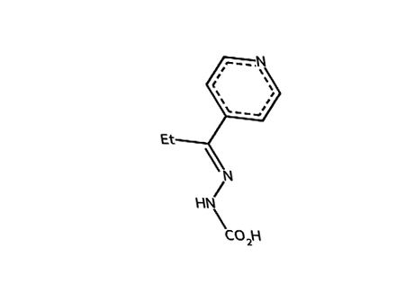 CCC(=NNC(=O)O)c1ccncc1